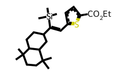 CCOC(=O)c1ccc(C=C(C2CCC3C(C2)C(C)(C)CCC3(C)C)[Si](C)(C)C)s1